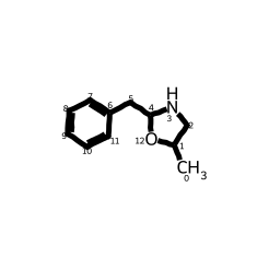 CC1CNC(Cc2ccccc2)O1